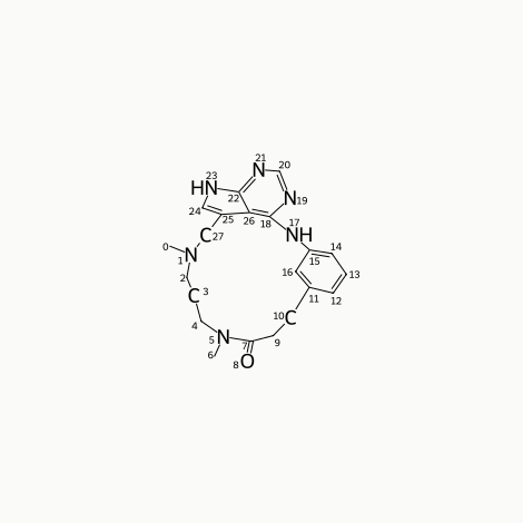 CN1CCCN(C)C(=O)CCc2cccc(c2)Nc2ncnc3[nH]cc(c23)C1